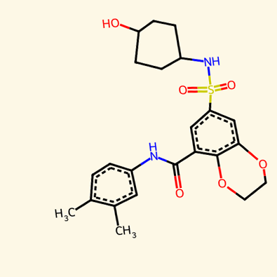 Cc1ccc(NC(=O)c2cc(S(=O)(=O)NC3CCC(O)CC3)cc3c2OCCO3)cc1C